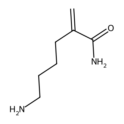 C=C(CCCCN)C(N)=O